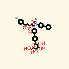 OC[C@H]1O[C@@H](c2ccc(-c3ccc([C@@H]4[C@@H](CC[C@H](O)c5ccc(F)cc5)OC(=S)N4c4ccc(-c5ccccc5)cc4)c(O)c3)cc2)[C@H](O)[C@@H](O)[C@@H]1O